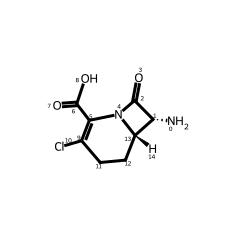 N[C@H]1C(=O)N2C(C(=O)O)=C(Cl)CC[C@@H]12